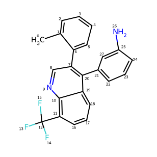 Cc1ccccc1-c1cnc2c(C(F)(F)F)cccc2c1-c1cccc(N)c1